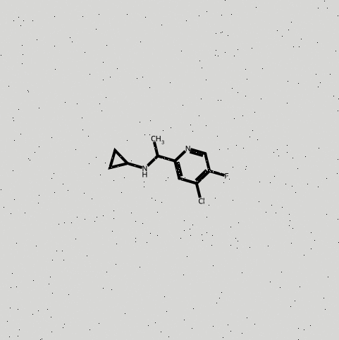 CC(NC1CC1)c1cc(Cl)c(F)cn1